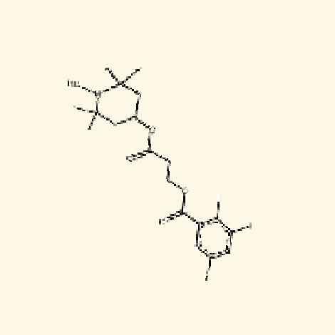 CC1(C)CC(OC(=O)CCOC(=O)c2cc(I)cc(I)c2I)CC(C)(C)N1O